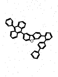 c1ccc(-c2ccc(-c3ccccc3-c3ccc4c(c3)oc3ccc(-c5c6ccccc6c(-c6ccccc6)c6ccccc56)cc34)cc2)cc1